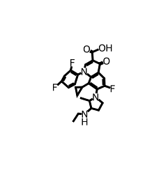 CCNC1CCN(c2c(F)cc3c(=O)c(C(=O)O)cn(-c4ccc(F)cc4F)c3c2C2CC2)C1C